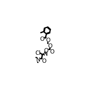 Cc1ccccc1C(=O)OCOC(=O)ON=C(Cl)C(=O)N(C)C